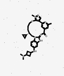 Cc1cc2cc(n1)-c1cnn(C)c1OCCC[C@@H](C1CC1)CN1/C(=N/C2=O)Nc2cc(NC3CC(N(C)C)C3)ccc21